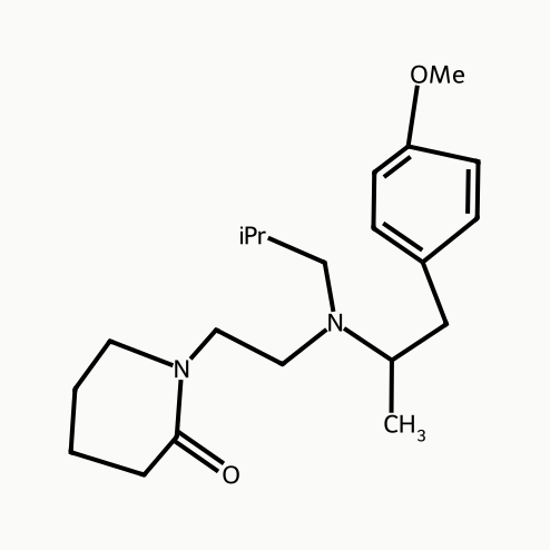 COc1ccc(CC(C)N(CCN2CCCCC2=O)CC(C)C)cc1